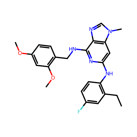 CCc1cc(F)ccc1Nc1cc2c(ncn2C)c(NCc2ccc(OC)cc2OC)n1